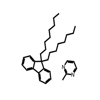 CCCCCCCCC1(CCCCCCCC)c2ccccc2-c2ccccc21.Cc1ncccn1